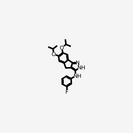 CC(C)Oc1cc2c(cc1OC(C)C)-c1n[nH]c(Nc3cccc(F)c3)c1C2